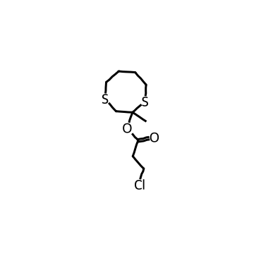 CC1(OC(=O)CCCl)CSCCCCS1